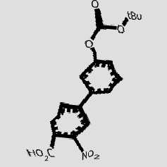 CC(C)(C)OC(=O)Oc1cccc(-c2ccc(C(=O)O)c([N+](=O)[O-])c2)c1